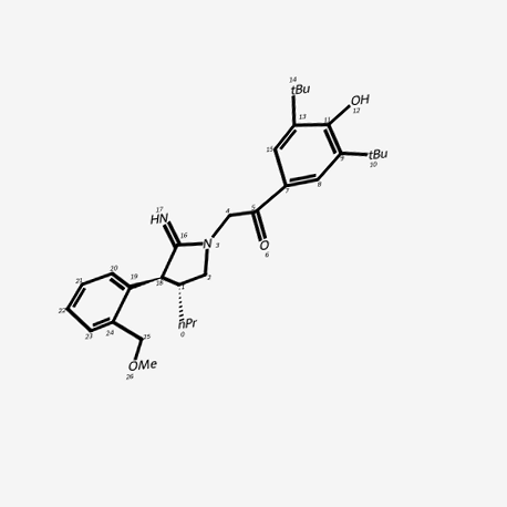 CCC[C@H]1CN(CC(=O)c2cc(C(C)(C)C)c(O)c(C(C)(C)C)c2)C(=N)[C@@H]1c1ccccc1COC